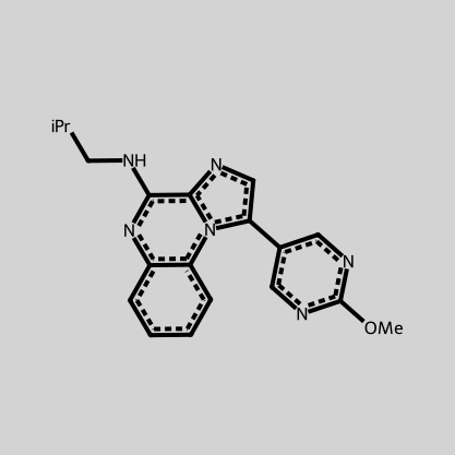 COc1ncc(-c2cnc3c(NCC(C)C)nc4ccccc4n23)cn1